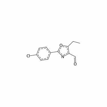 CCc1oc(-c2ccc(Cl)cc2)nc1C=O